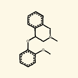 COc1ccccc1OC1CN(C)Cc2ccccc21